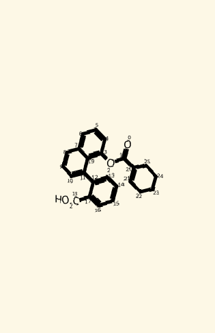 O=C(Oc1cccc2cccc(-c3ccccc3C(=O)O)c12)C1=CCCCC1